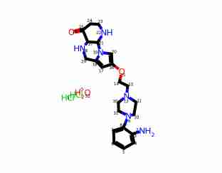 Cl.Cl.Nc1ccccc1N1CCN(CCOc2cc3n(c2)C2NCCC(=O)C2NC3)CC1.O